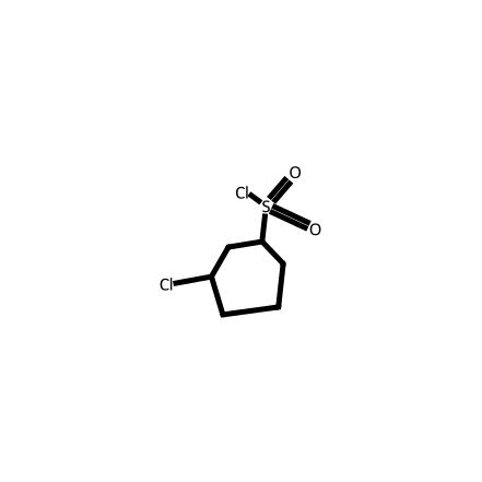 O=S(=O)(Cl)C1CCCC(Cl)C1